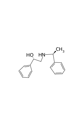 C[C@H](NC[C@@H](O)c1ccccc1)c1ccccc1